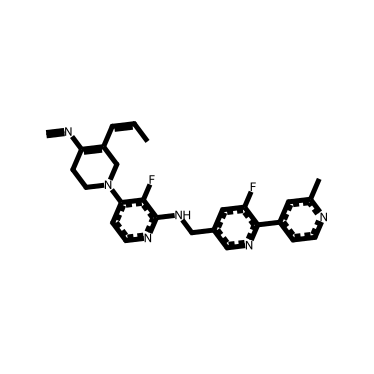 C=NC1=C(/C=C\C)CN(c2ccnc(NCc3cnc(-c4ccnc(C)c4)c(F)c3)c2F)CC1